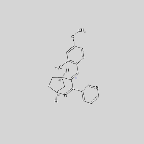 COc1ccc(/C=C2/C(c3cccnc3)=N[C@H]3CC[C@@H]2C3)c(C)c1